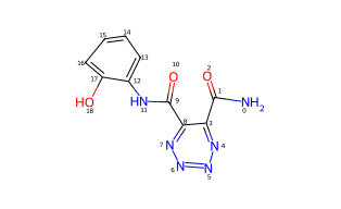 NC(=O)c1nnnnc1C(=O)Nc1ccccc1O